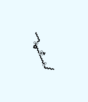 CCCCCC/C=C\COC(=O)CCCCCCCN(CCCCc1cccc(C(=O)OC/C=C\CCCCCC)c1)C(=O)OC(C)(C)C